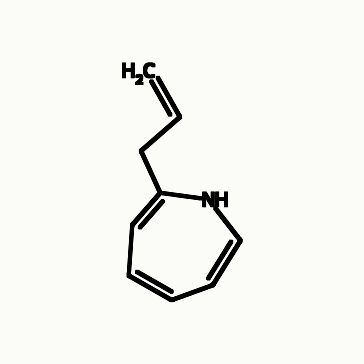 C=CCC1=CC=CC=CN1